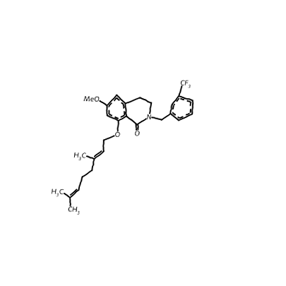 COc1cc2c(c(OC/C=C(\C)CCC=C(C)C)c1)C(=O)N(Cc1cccc(C(F)(F)F)c1)CC2